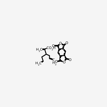 C=CCC(CC=C)C(=C)C(=O)O.O=c1oc(=O)c2cc3c(=O)oc(=O)c3cc12